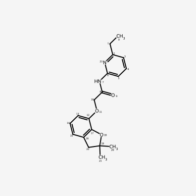 CCc1cccc(NC(=O)COc2cccc3c2OC(C)(C)C3)n1